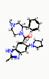 Cc1nc2cc(N3CCCC3)c(C(=O)N3CCN(C)CC3c3ccccc3)cc2[nH]1